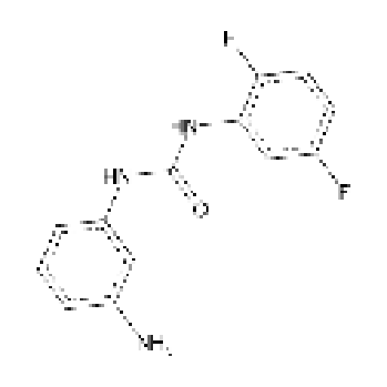 Nc1cccc(NC(=O)Nc2cc(F)ccc2F)c1